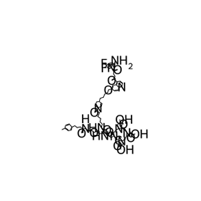 Cc1ccc(CCCC(=O)NCCOCCC(NC(=O)CN2CCN(CC(=O)O)CCN(CC(=O)O)CCN(CC(=O)O)CC2)C(=O)NCCCCCC(=O)N2CCC(CCCCOc3ccc4nccc(C(=O)CCC(=O)N5CC(F)(F)C[C@@H]5CN)c4c3)CC2)cc1